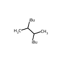 [CH2]CC(C)C(C)C(C)C(C)CC